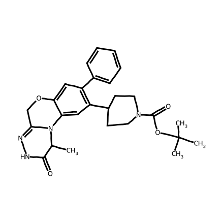 CC1C(=O)NN=C2COc3cc(-c4ccccc4)c(C4CCN(C(=O)OC(C)(C)C)CC4)cc3N21